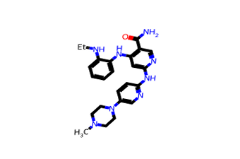 CCNc1ccccc1Nc1cc(Nc2ccc(N3CCN(C)CC3)cn2)ncc1C(N)=O